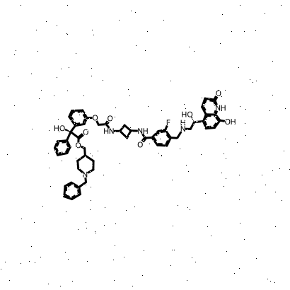 O=C(COc1cccc([C@](O)(C(=O)OCC2CCN(Cc3ccccc3)CC2)c2ccccc2)c1)NC1CC(NC(=O)c2ccc(CNC[C@H](O)c3ccc(O)c4[nH]c(=O)ccc34)c(F)c2)C1